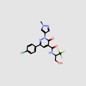 Cn1cc(-n2nc(-c3ccc(Cl)cc3)cc(C(=O)NC(CO)C(F)(F)F)c2=O)cn1